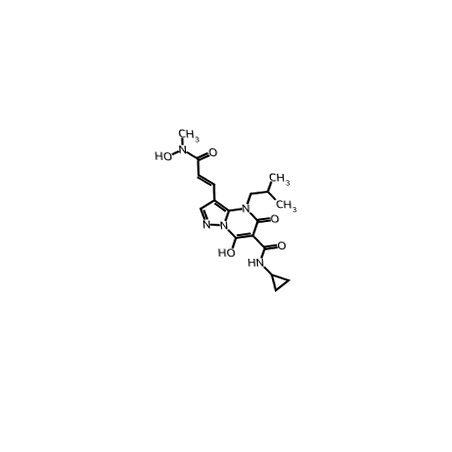 CC(C)Cn1c(=O)c(C(=O)NC2CC2)c(O)n2ncc(/C=C/C(=O)N(C)O)c12